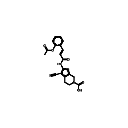 CC(=O)Oc1ccccc1C=CC(=O)Nc1sc2c(c1C#N)CCN(C(=O)O)C2